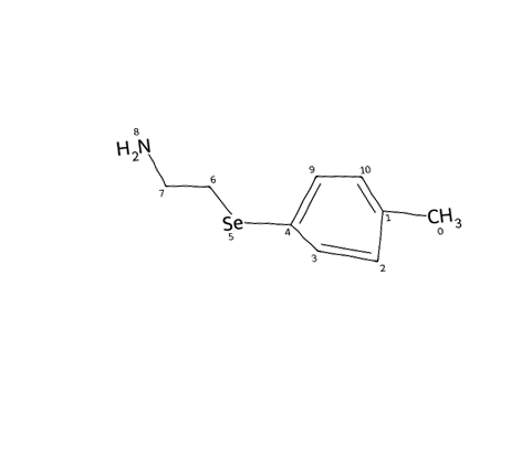 Cc1ccc([Se]CCN)cc1